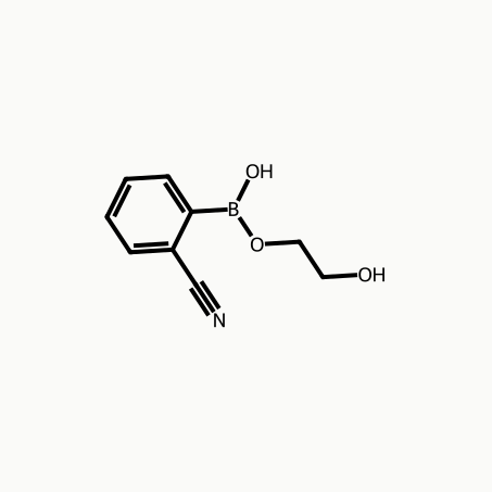 N#Cc1ccccc1B(O)OCCO